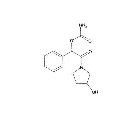 NC(=O)OC(C(=O)N1CCC(O)C1)c1ccccc1